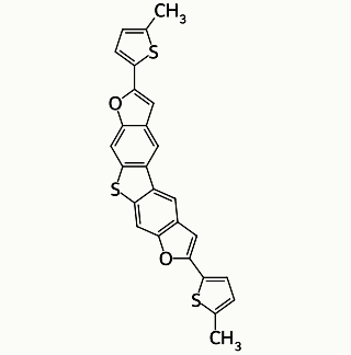 Cc1ccc(-c2cc3cc4c(cc3o2)sc2cc3oc(-c5ccc(C)s5)cc3cc24)s1